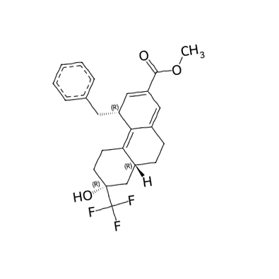 COC(=O)C1=C[C@@H](Cc2ccccc2)C2=C3CC[C@](O)(C(F)(F)F)C[C@H]3CCC2=C1